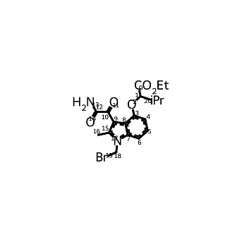 CCOC(=O)C(Oc1cccc2c1c(C(=O)C(N)=O)c(C)n2CBr)C(C)C